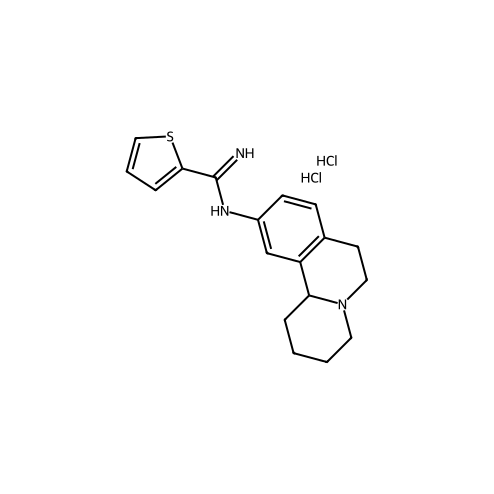 Cl.Cl.N=C(Nc1ccc2c(c1)C1CCCCN1CC2)c1cccs1